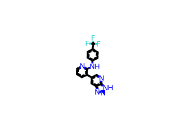 FC(F)(F)c1ccc(Nc2ncccc2-c2cnc3[nH]nnc3c2)cc1